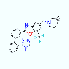 C[C@H]1CCCN(Cc2cc(C(F)(F)F)c3oc(-c4cccc(-c5ccccc5-c5nncn5C)c4)nc3c2)C1